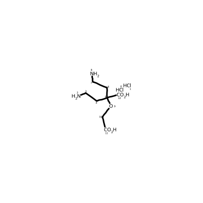 Cl.Cl.NCCC(CCN)(OCC(=O)O)C(=O)O